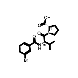 CC(C)[C@H](NC(=O)C1=CCCC(Br)=C1)C(=O)N1CCC[C@H]1C(=O)O